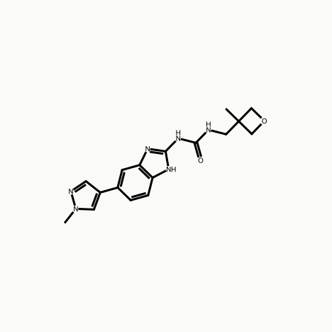 Cn1cc(-c2ccc3[nH]c(NC(=O)NCC4(C)COC4)nc3c2)cn1